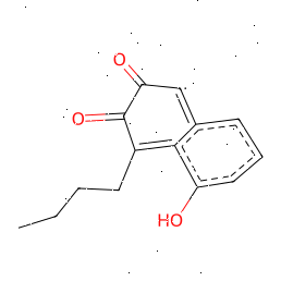 CCCCC1=c2c(O)cccc2=[C]C(=O)C1=O